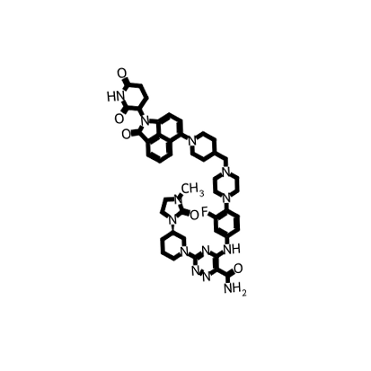 CN1CCN([C@@H]2CCCN(c3nnc(C(N)=O)c(Nc4ccc(N5CCN(CC6CCN(c7ccc8c9c(cccc79)C(=O)N8C7CCC(=O)NC7=O)CC6)CC5)c(F)c4)n3)C2)C1=O